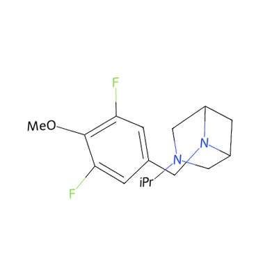 COc1c(F)cc(CN2C3CC2CN(C(C)C)C3)cc1F